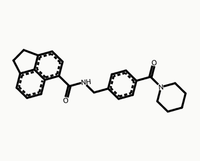 O=C(NCc1ccc(C(=O)N2CCCCC2)cc1)c1ccc2c3c(cccc13)CC2